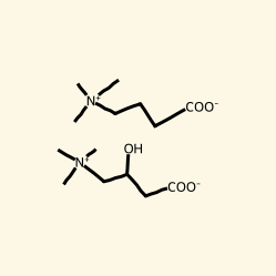 C[N+](C)(C)CC(O)CC(=O)[O-].C[N+](C)(C)CCCC(=O)[O-]